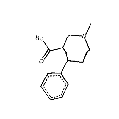 CN1CCC(c2ccccc2)C(C(=O)O)C1